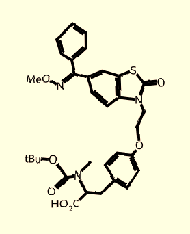 CO/N=C(\c1ccccc1)c1ccc2c(c1)sc(=O)n2CCOc1ccc(CC(C(=O)O)N(C)C(=O)OC(C)(C)C)cc1